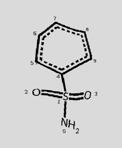 NS(=O)(=O)c1[c]cccc1